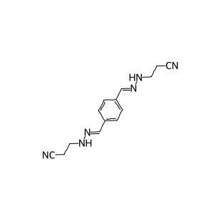 N#CCCNN=Cc1ccc(C=NNCCC#N)cc1